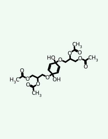 CC(=O)OCC(COC1(O)C=CC(O)(OCC(COC(C)=O)OC(C)=O)C=C1)OC(C)=O